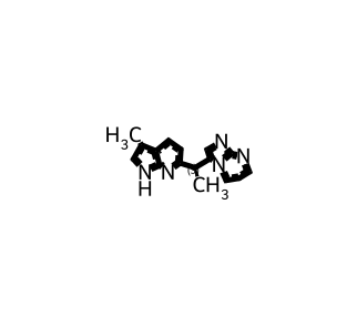 Cc1c[nH]c2nc([C@H](C)c3cnc4ncccn34)ccc12